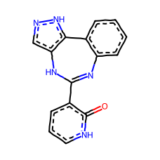 O=c1[nH]cccc1C1=Nc2ccccc2-c2[nH]ncc2N1